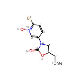 COCC1CN(c2ccc(Br)[n+]([O-])c2)C(=O)O1